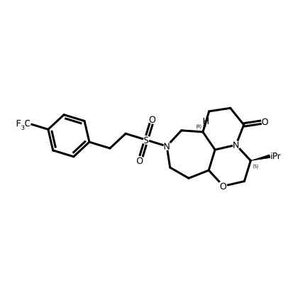 CC(C)[C@H]1COC2CCN(S(=O)(=O)CCc3ccc(C(F)(F)F)cc3)C[C@H]3CCC(=O)N1C23